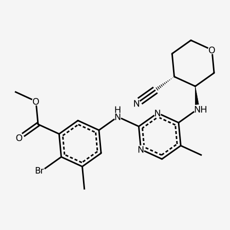 COC(=O)c1cc(Nc2ncc(C)c(N[C@@H]3COCC[C@H]3C#N)n2)cc(C)c1Br